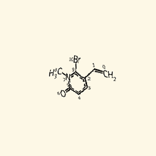 C=Cc1ccc(=O)n(C)c1Br